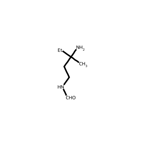 CCC(C)(N)CCNC=O